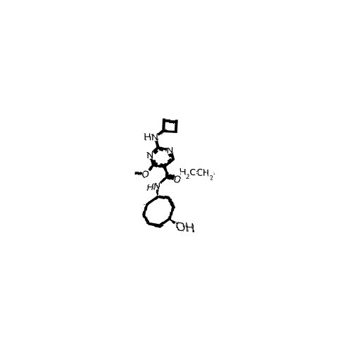 COc1nc(NC2CCC2)ncc1C(=O)N[C@@H]1[CH]CCC[C@H](O)CC1.[CH2].[CH2]